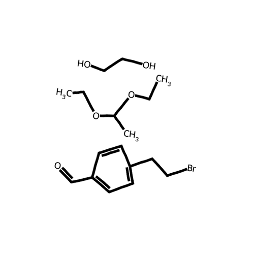 CCOC(C)OCC.O=Cc1ccc(CCBr)cc1.OCCO